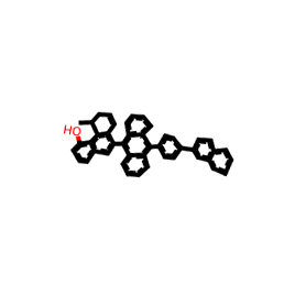 CC1CC=Cc2c(-c3c4ccccc4c(-c4ccc(-c5ccc6ccccc6c5)cc4)c4ccccc34)cc3cccc(O)c3c21